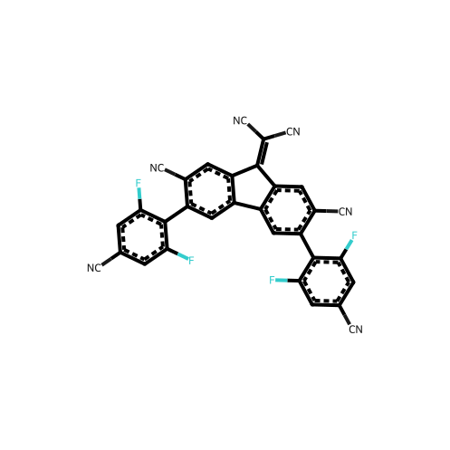 N#CC(C#N)=C1c2cc(C#N)c(-c3c(F)cc(C#N)cc3F)cc2-c2cc(-c3c(F)cc(C#N)cc3F)c(C#N)cc21